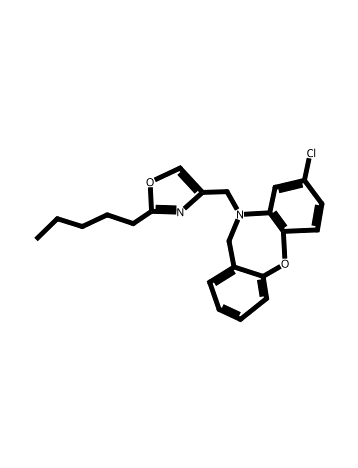 CCCCCc1nc(CN2Cc3ccccc3Oc3ccc(Cl)cc32)co1